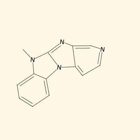 Cn1c2ccccc2n2c3ccncc3nc12